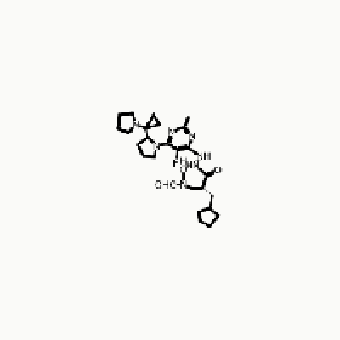 Cc1nc(NNC(=O)[C@H](CC2CCCC2)CN(O)C=O)c(F)c(N2CCC[C@H]2C2(N3CCCC3)CC2)n1